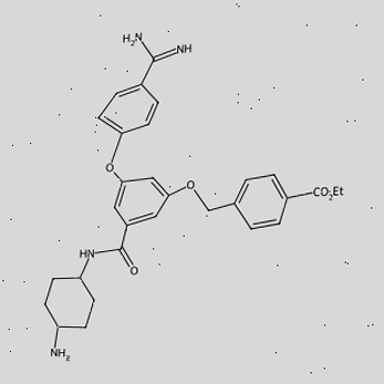 CCOC(=O)c1ccc(COc2cc(Oc3ccc(C(=N)N)cc3)cc(C(=O)NC3CCC(N)CC3)c2)cc1